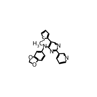 CN(c1ccc2c(c1)OCO2)c1nc(-c2cccnc2)ncc1-c1cccs1